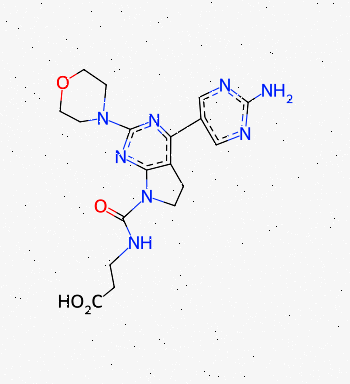 Nc1ncc(-c2nc(N3CCOCC3)nc3c2CCN3C(=O)NCCC(=O)O)cn1